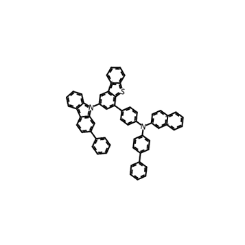 c1ccc(-c2ccc(N(c3ccc(-c4cc(-n5c6ccccc6c6ccc(-c7ccccc7)cc65)cc5c4sc4ccccc45)cc3)c3ccc4ccccc4c3)cc2)cc1